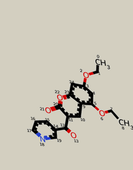 CCOc1cc(OCC)c2cc(C(=O)c3cccnc3)c(=O)oc2c1